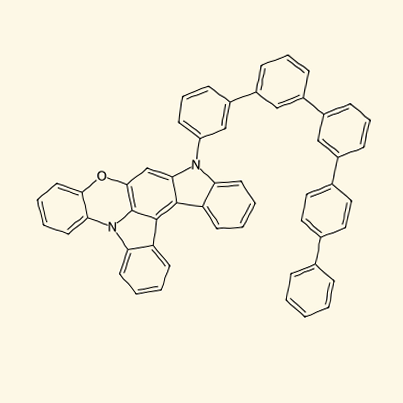 c1ccc(-c2ccc(-c3cccc(-c4cccc(-c5cccc(-n6c7ccccc7c7c8c9ccccc9n9c8c(cc76)Oc6ccccc6-9)c5)c4)c3)cc2)cc1